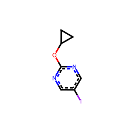 Ic1cnc(OC2CC2)nc1